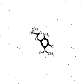 CC(C)N(C)c1cc(OC(=O)NC(C)(C)C)c(N)cc1Cl